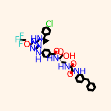 O=C(NCC[C@H](NC(=O)c1ccc(Nc2nc(NC3(c4ccc(Cl)cc4)CC3)nc(OCC(F)(F)F)n2)cc1)C(=O)O)C(=O)Nc1cccc(Cc2ccccc2)c1